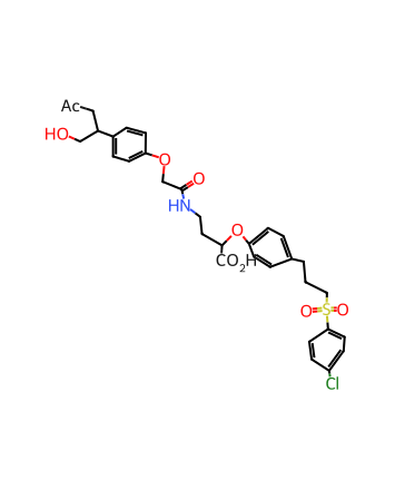 CC(=O)CC(CO)c1ccc(OCC(=O)NCCC(Oc2ccc(CCCS(=O)(=O)c3ccc(Cl)cc3)cc2)C(=O)O)cc1